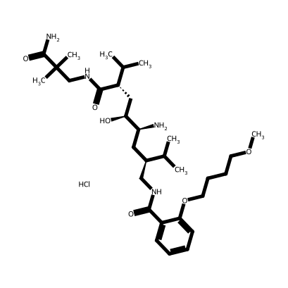 COCCCCOc1ccccc1C(=O)NC[C@@H](C[C@H](N)[C@@H](O)C[C@H](C(=O)NCC(C)(C)C(N)=O)C(C)C)C(C)C.Cl